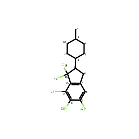 CC1CCC(C2Cc3cc(F)c(F)c(F)c3C2(F)F)CC1